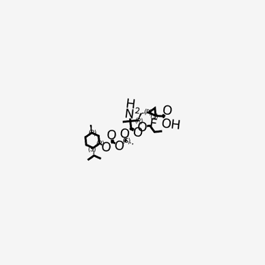 CCCO[C@H](C[C@@H]1C[C@@]1(F)C(=O)O)C(C)(N)C(=O)O[C@H](C)OC(=O)O[C@@H]1C[C@H](C)CC[C@H]1C(C)C